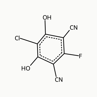 N#Cc1c(O)c(Cl)c(O)c(C#N)c1F